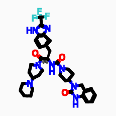 O=C(N[C@H](Cc1ccc2[nH]c(C(F)(F)F)nc2c1)C(=O)N1CCC(N2CCCCC2)CC1)N1CCC(N2Cc3ccccc3NC2=O)CC1